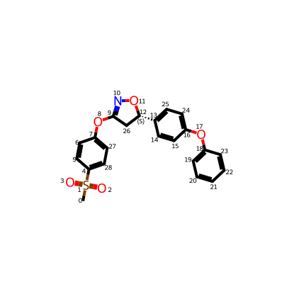 CS(=O)(=O)c1ccc(OC2=NO[C@H](c3ccc(Oc4ccccc4)cc3)C2)cc1